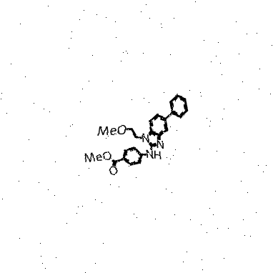 COCCn1c(Nc2ccc(C(=O)OC)cc2)nc2cc(-c3ccccc3)ccc21